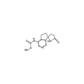 CC(C)(C)OC(=O)Nc1cncc2c1CCC21CCC(=O)N1